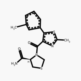 Cc1cccc(-c2sc(C)nc2C(=O)N2CSC[C@H]2C(N)=O)c1